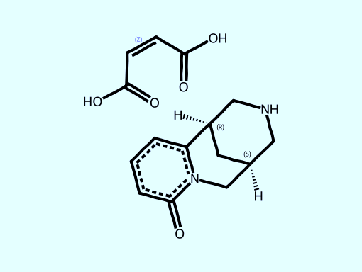 O=C(O)/C=C\C(=O)O.O=c1cccc2n1C[C@@H]1CNC[C@H]2C1